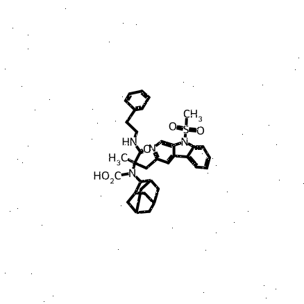 CC(Cc1cc2c3ccccc3n(S(C)(=O)=O)c2cn1)(C(=O)NCCc1ccccc1)N(C(=O)O)C1C2CC3CC(C2)CC1C3